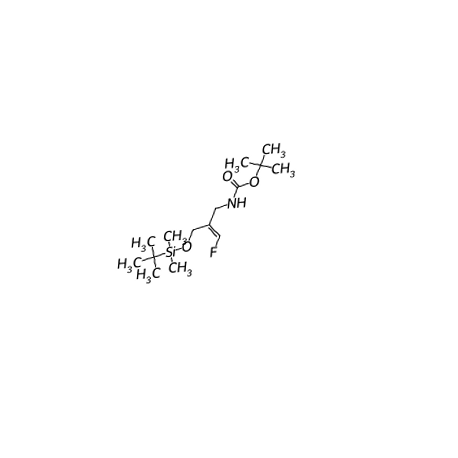 CC(C)(C)OC(=O)NCC(=CF)CO[Si](C)(C)C(C)(C)C